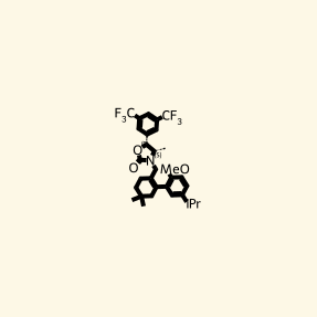 COc1ccc(C(C)C)cc1C1=C(CN2C(=O)O[C@H](c3cc(C(F)(F)F)cc(C(F)(F)F)c3)[C@@H]2C)CCC(C)(C)C1